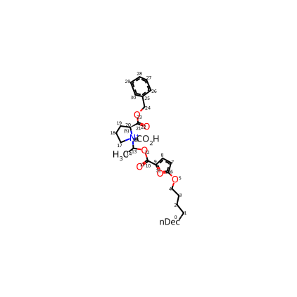 CCCCCCCCCCCCCCOc1ccc(C(=O)OC(C)[N+]2(C(=O)O)CCC[C@H]2C(=O)OCc2ccccc2)o1